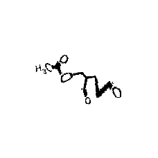 CC(=O)OCC([C]=O)CC[C]=O